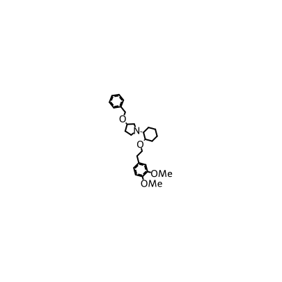 COc1ccc(CCO[C@H]2CCCC[C@H]2N2CC[C@@H](OCc3ccccc3)C2)cc1OC